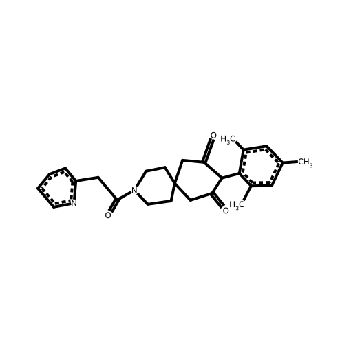 Cc1cc(C)c(C2C(=O)CC3(CCN(C(=O)Cc4ccccn4)CC3)CC2=O)c(C)c1